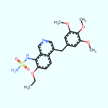 CCOc1ccc2c(Cc3cc(OC)c(OC)c(OC)c3)cncc2c1NS(N)(=O)=O